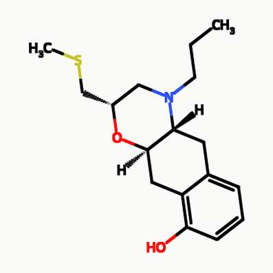 CCCN1C[C@@H](CSC)O[C@@H]2Cc3c(O)cccc3C[C@H]21